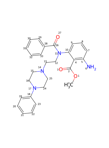 COC(=O)c1c(N)cccc1N(CCN1CCN(c2ccccc2)CC1)C(=O)c1ccccc1